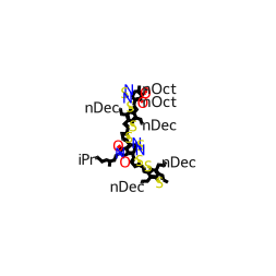 CCCCCCCCCCCCc1c2cc(-c3ccc(-c4c5c(c(-c6ccc(-c7cc8c(CCCCCCCCCCCC)c9sc(-c%10c(OCCCCCCCC)c(OCCCCCCCC)c(C)c%11nsnc%10%11)cc9c(CCCCCCCCCCCC)c8s7)s6)c6nsnc46)C(=O)N(CCC(C)CCCC(C)C)C5=O)s3)sc2c(CCCCCCCCCCCC)c2cc(C)sc12